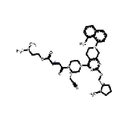 Cc1cccc2cccc(N3CCc4c(nc(OC[C@@H]5CCCN5C)nc4N4CCN(C(=O)/C=C/C(=O)OCCN(C)C)[C@@H](CC#N)C4)C3)c12